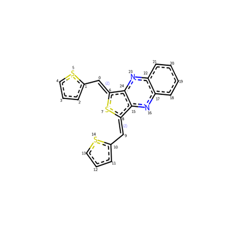 C(/c1cccs1)=c1/s/c(=C\c2cccs2)c2nc3ccccc3nc12